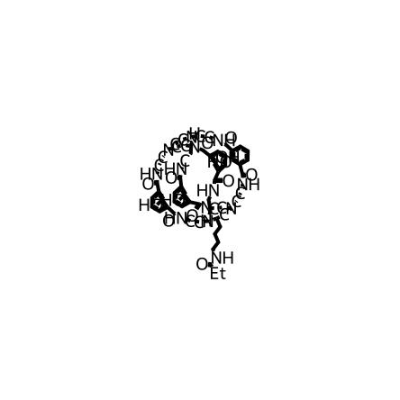 CCC(=O)NCCCCC1CN2CCNC(=O)c3cccc(c3O)C(=O)NCCN(CCNC(=O)c3cccc(c3O)C(=O)NCC2)CCN2CCNC(=O)c3cccc(c3O)C(=O)NCCN1CCNC(=O)c1cccc(c1O)C(=O)NCC2